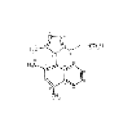 CCOC(=O)CSc1nnc(C(F)(F)F)n1-c1c(C)cc(C)c2ccccc12